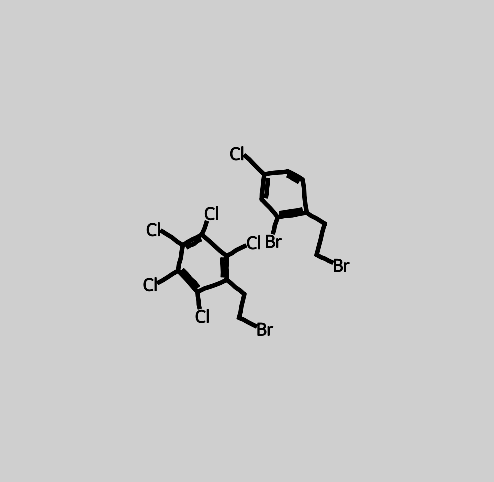 Clc1c(Cl)c(Cl)c(CCBr)c(Cl)c1Cl.Clc1ccc(CCBr)c(Br)c1